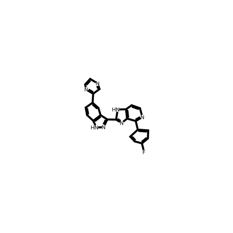 Fc1ccc(-c2nccc3[nH]c(-c4n[nH]c5ccc(-c6cnccn6)cc45)nc23)cc1